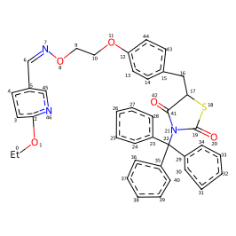 CCOc1ccc(/C=N\OCCOc2ccc(CC3SC(=O)N(C(c4ccccc4)(c4ccccc4)c4ccccc4)C3=O)cc2)cn1